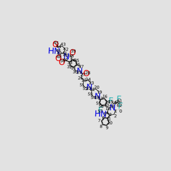 C[C@@H]1Cc2c([nH]c3ccccc23)[C@@H](c2c(F)cc(N3CCC(N4CCC(CC(=O)N5Cc6cc7c(cc6C5)C(=O)N(C5CCC(=O)NC5=O)C7=O)CC4)CC3)cc2F)N1CC(F)F